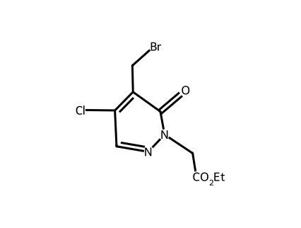 CCOC(=O)Cn1ncc(Cl)c(CBr)c1=O